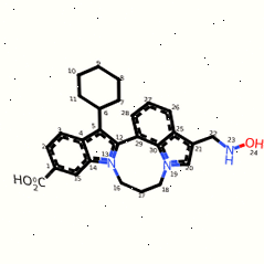 O=C(O)c1ccc2c(C3CCCCC3)c3n(c2c1)CCCn1cc(CNO)c2cccc-3c21